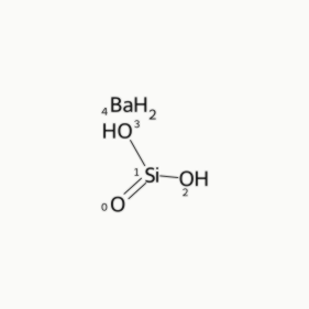 O=[Si](O)O.[BaH2]